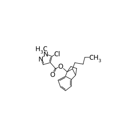 CCCCC1C2CCC1(OC(=O)c1cnn(C)c1Cl)c1ccccc12